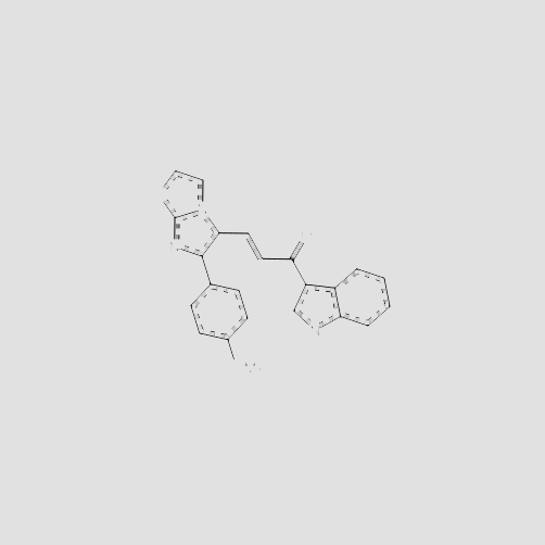 COc1ccc(-c2nc3sccn3c2C=CC(=O)c2c[nH]c3ccccc23)cc1